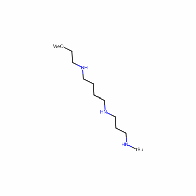 COCCNCCCCNCCCNC(C)(C)C